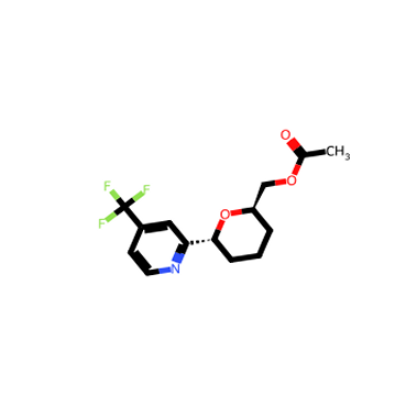 CC(=O)OC[C@H]1CCC[C@H](c2cc(C(F)(F)F)ccn2)O1